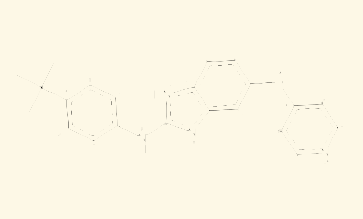 CC(C)(C)c1ccc(Nc2nc3cc(Oc4ccncc4)ccc3[nH]2)cc1